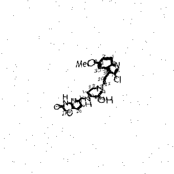 COc1ccc2ncc(Cl)c(CCN3CC[C@H](NCc4ccc5c(n4)NC(=O)CO5)[C@H](O)C3)c2c1